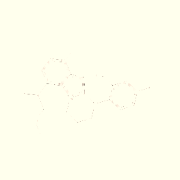 COCC(C)c1ccc(Cl)c2nc3n(c12)CCCN3c1ccc(Cl)cc1Cl